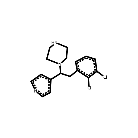 Clc1cccc(CC(c2ccncc2)N2CCNCC2)c1Cl